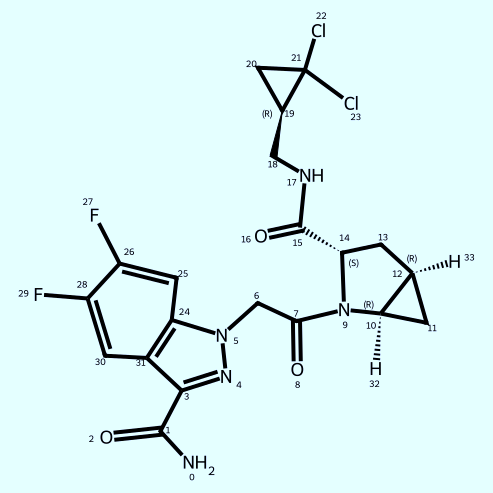 NC(=O)c1nn(CC(=O)N2[C@@H]3C[C@@H]3C[C@H]2C(=O)NC[C@H]2CC2(Cl)Cl)c2cc(F)c(F)cc12